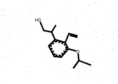 C=Cc1c(OC(C)C)cccc1[C](C)CO